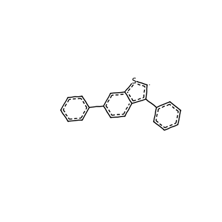 [c]1sc2cc(-c3ccccc3)ccc2c1-c1ccccc1